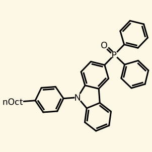 CCCCCCCCc1ccc(-n2c3ccccc3c3cc(P(=O)(c4ccccc4)c4ccccc4)ccc32)cc1